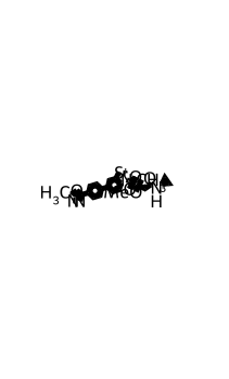 COC(C)(CC(=O)NC1CC1)S(=O)(=O)N1[CH]Sc2cc(-c3ccc(-c4nnc(C)o4)cc3)ccc21